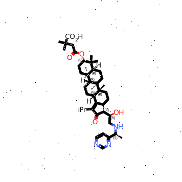 CC(C)C1=C2C(CC[C@]3(C)[C@@H]2CC[C@@H]2[C@@]4(C)CC[C@H](OC(=O)CC(C)(C)C(=O)O)C(C)(C)[C@@H]4CC[C@]23C)[C@H]([C@@H](O)CN[C@@H](C)c2ccncn2)C1=O